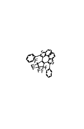 FC1(F)C(c2c(-c3ccccc3)sc3ccccc23)=C(c2c(-c3ccccc3)sc3ccccc23)C(F)(F)C1(F)F